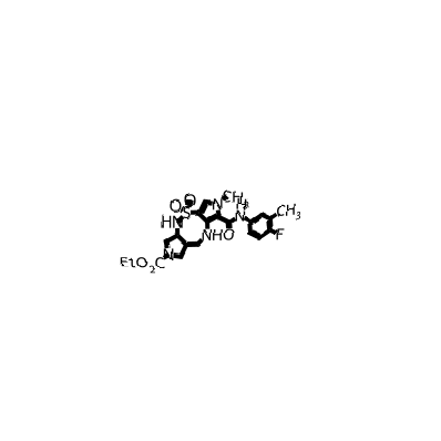 CCOC(=O)N1CC2CNc3c(cn(C)c3C(=O)Nc3ccc(F)c(C)c3)S(=O)(=O)NC2C1